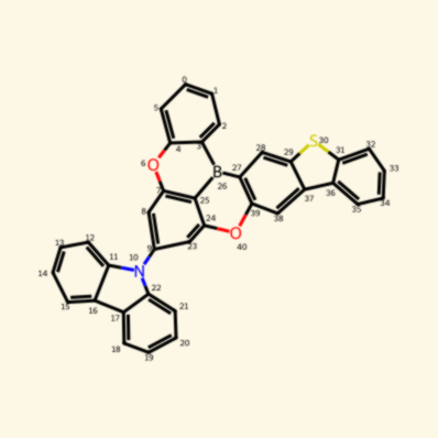 c1ccc2c(c1)Oc1cc(-n3c4ccccc4c4ccccc43)cc3c1B2c1cc2sc4ccccc4c2cc1O3